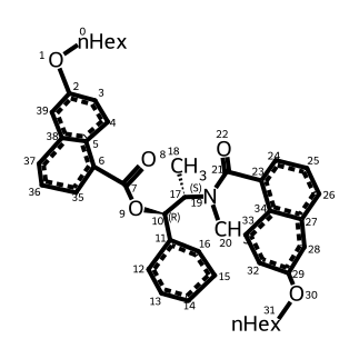 CCCCCCOc1ccc2c(C(=O)O[C@H](c3ccccc3)[C@H](C)N(C)C(=O)c3cccc4cc(OCCCCCC)ccc34)cccc2c1